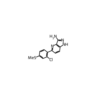 CSc1ccc(-c2ccc3[nH]nc(N)c3n2)c(Cl)c1